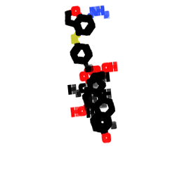 C[C@]12C=CC(=O)C=C1CC[C@@H]1[C@@H]2[C@@H](O)C[C@@]2(C)[C@H]1C[C@H]1O[C@@H](c3ccc(Sc4ccc(N)c5c4CCO5)cc3)O[C@]12C(=O)CO